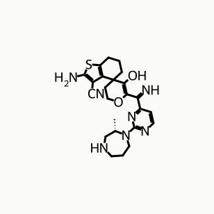 C[C@H]1CNCCCN1c1nccc(C(=N)C2=C(O)C3(CCCc4sc(N)c(C#N)c43)CCO2)n1